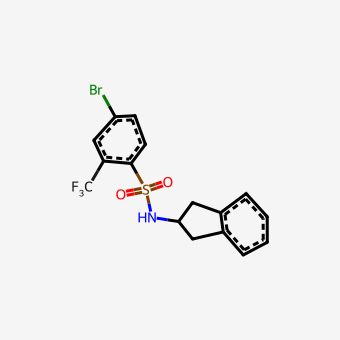 O=S(=O)(NC1Cc2ccccc2C1)c1ccc(Br)cc1C(F)(F)F